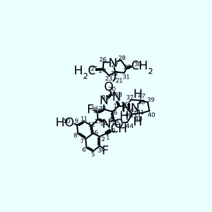 C#Cc1c(F)ccc2cc(O)cc(-c3nc4c5c(nc(OCC67CC(=C)CN6CC(=C)C7)nc5c3F)N3C[C@H]5CC[C@H](N5)[C@H]3CO4)c12